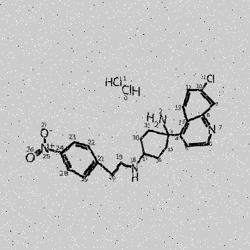 Cl.Cl.NC1(c2ccnc3cc(Cl)ccc23)CCC(NCCc2ccc([N+](=O)[O-])cc2)CC1